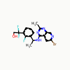 Cc1nc(NC(C)c2cccc(C(F)(F)CO)c2F)c2cc(Br)ncc2n1